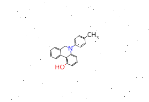 Cc1ccc(N2Cc3ccccc3-c3c(O)cccc32)cc1